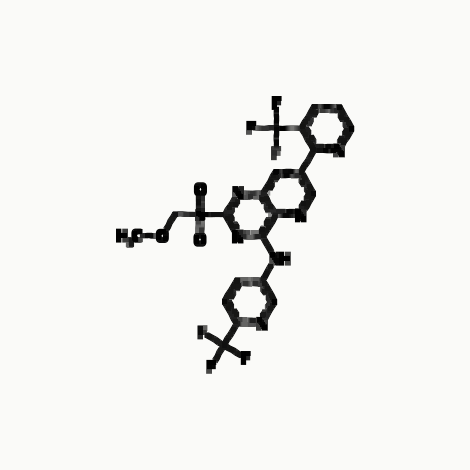 COCS(=O)(=O)c1nc(Nc2ccc(C(F)(F)F)nc2)c2ncc(-c3ncccc3C(F)(F)F)cc2n1